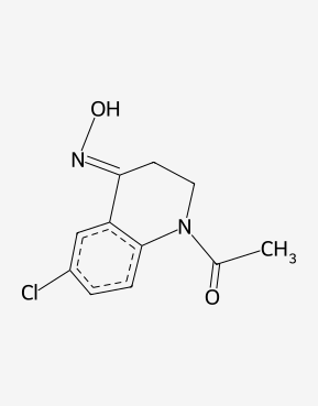 CC(=O)N1CCC(=NO)c2cc(Cl)ccc21